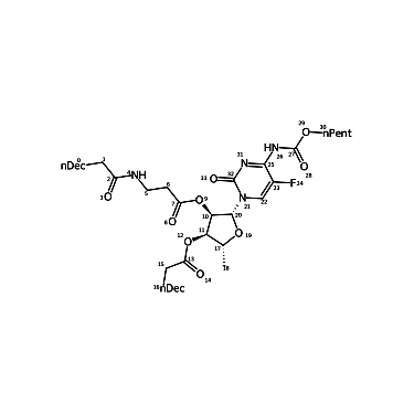 CCCCCCCCCCCC(=O)NCCC(=O)O[C@@H]1[C@H](OC(=O)CCCCCCCCCCC)[C@@H](C)O[C@H]1n1cc(F)c(NC(=O)OCCCCC)nc1=O